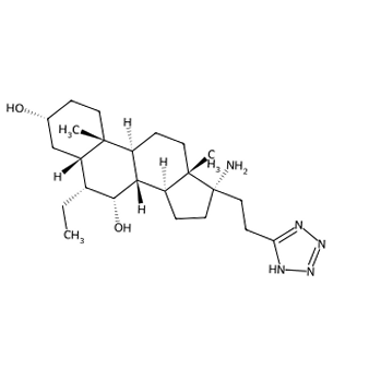 CC[C@H]1[C@@H](O)[C@@H]2[C@H](CC[C@@]3(C)[C@H]2CC[C@]3(N)CCc2nnn[nH]2)[C@@]2(C)CC[C@@H](O)C[C@@H]12